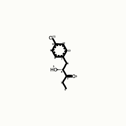 CCC(=O)[C@H](O)Cc1ccc(Cl)cc1